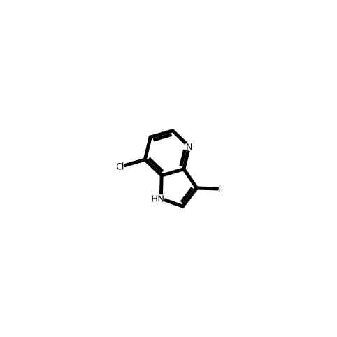 Clc1ccnc2c(I)c[nH]c12